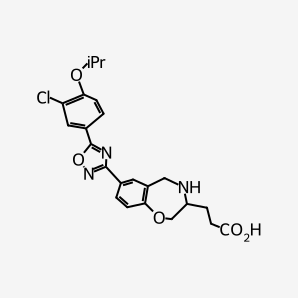 CC(C)Oc1ccc(-c2nc(-c3ccc4c(c3)CNC(CCC(=O)O)CO4)no2)cc1Cl